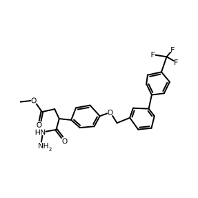 COC(=O)CC(C(=O)NN)c1ccc(OCc2cccc(-c3ccc(C(F)(F)F)cc3)c2)cc1